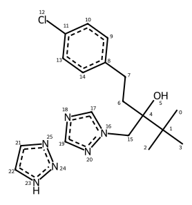 CC(C)(C)C(O)(CCc1ccc(Cl)cc1)Cn1cncn1.c1c[nH]nn1